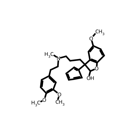 COc1ccc2c(c1)C(CCCN(C)CCc1ccc(OC)c(OC)c1)(c1ccccc1)C(O)O2